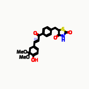 COC1(OC)CC(/C=C/C(=O)c2ccc(CC3SC(=O)NC3=O)cc2)=CC=C1O